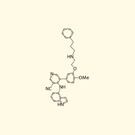 COc1ccc(-c2cncc(C#N)c2Nc2cccc3[nH]ccc23)cc1OCCNCCCc1ccccc1